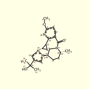 COc1ccc(C(=O)N2C[C@H](n3cc(C(C)(C)O)cn3)CC[C@H]2C)c(C2CC2)n1